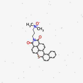 C[N+](C)([O-])CCCn1c(=O)c2ccc3sc4ccc5ccccc5c4c4ccc(c1=O)c2c34